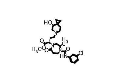 COC(=O)[C@H](CCN1CCC2(CC2)[C@H](O)C1)N1C[C@@H](C)N(C(=O)Nc2cccc(Cl)c2)CCC1=O